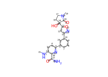 CNc1ccc(-c2cccc(-c3cc([C@]4(O)CCN(C)C4=O)on3)c2)nc1C(N)=O